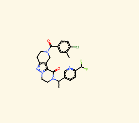 Cc1cc(C(=O)N2CCc3nn4c(c3C2)C(=O)N(C(C)c2ccc(C(F)F)nc2)CC4)ccc1Cl